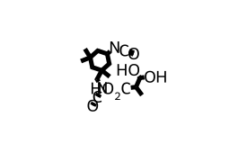 CC(C(=O)O)C(O)O.CC1(C)CC(N=C=O)CC(C)(CN=C=O)C1